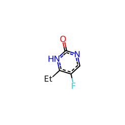 CCc1[nH]c(=O)ncc1F